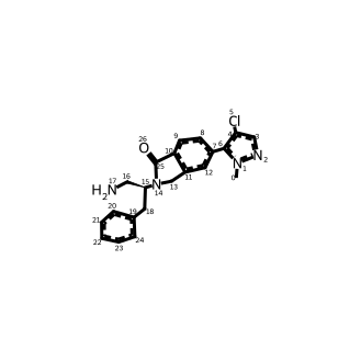 Cn1ncc(Cl)c1-c1ccc2c(c1)CN([C@H](CN)Cc1ccccc1)C2=O